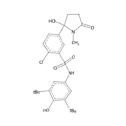 CN1C(=O)CCC1(O)c1ccc(Cl)c(S(=O)(=O)Nc2cc(C(C)(C)C)c(O)c(C(C)(C)C)c2)c1